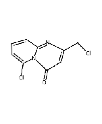 O=c1cc(CCl)nc2cccc(Cl)n12